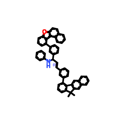 CC1(C)c2cc3ccccc3cc2-c2c(-c3cccc(/C=C/C(Nc4ccccc4)c4cccc(-c5cccc6oc7ccc8ccccc8c7c56)c4)c3)cccc21